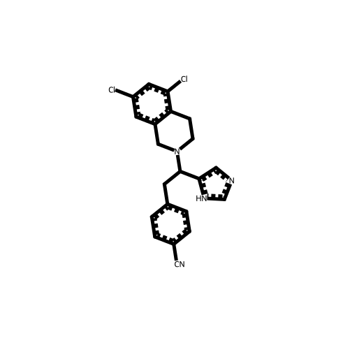 N#Cc1ccc(CC(c2cnc[nH]2)N2CCc3c(Cl)cc(Cl)cc3C2)cc1